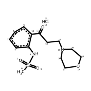 CS(=O)(=O)Nc1ccccc1C(=O)CCN1CCOCC1.Cl